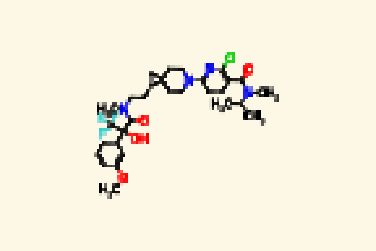 COc1cccc(C(O)(C(=O)N(C)CC[C@H]2CC23CCN(c2ccc(C(=O)N(C)C(C)C)c(Cl)n2)CC3)C(F)(F)F)c1